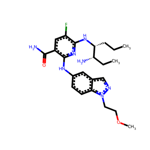 CCC[C@@H](Nc1nc(Nc2ccc3c(cnn3CCOC)c2)c(C(N)=O)cc1F)[C@@H](N)CC